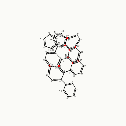 c1ccc(-c2ccccc2-c2ccccc2N(c2ccccc2-c2ccccc2-c2ccccc2)c2cccc3oc4ccccc4c23)cc1